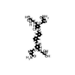 Cc1c(COc2cc(OCc3cncc(C(N)=O)c3)c(CNC[C@@H](O)CC(=O)O)cc2Cl)cccc1-c1cccc(COc2cc(OCc3cncc(C(N)=O)c3)c(CNC[C@@H](O)CC(=O)O)cc2Cl)c1C